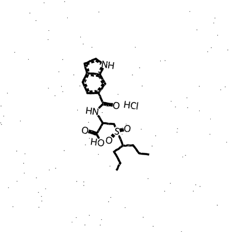 CCCC(CCC)S(=O)(=O)CC(NC(=O)c1ccc2cc[nH]c2c1)C(=O)O.Cl